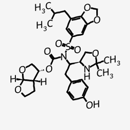 CC(C)Cc1cc(S(=O)(=O)N(C(=O)O[C@H]2CO[C@H]3OCC[C@H]32)C(Cc2ccc(O)cc2)[C@H]2COC(C)(C)N2)cc2c1OCO2